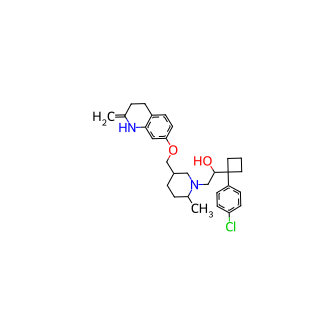 C=C1CCc2ccc(OCC3CCC(C)N(CC(O)C4(c5ccc(Cl)cc5)CCC4)C3)cc2N1